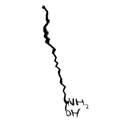 CCCCCCCCCCCCCCCCCCCCC/C=C/C(N)CO